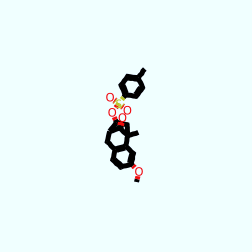 COc1ccc2c(c1)C1(C)CC(OS(=O)(=O)c3ccc(C)cc3)C(C2)C1=O